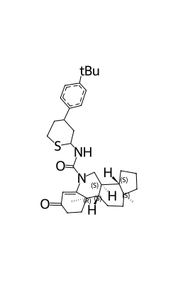 CC(C)(C)c1ccc(C2CCSC(NC(=O)N3C[C@H]4[C@@H]5CCC[C@@]5(C)CC[C@@H]4[C@@]4(C)CCC(=O)C=C34)C2)cc1